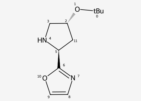 CC(C)(C)O[C@H]1CN[C@H](c2ncco2)C1